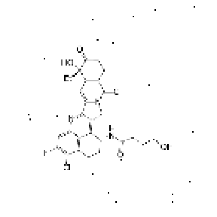 CC[C@@]1(O)C(=O)CCc2c1cc1n(c2=O)Cc2c-1nc1cc(F)c(Cl)c3c1c2[C@H](NC(=O)CCCO)CC3